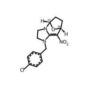 O=[N+]([O-])C1=C2N(Cc3ccc(Cl)cc3)CCN2[C@@H]2CC[C@H]1O2